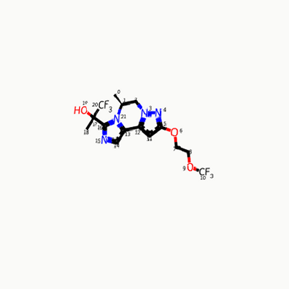 C[C@H]1Cn2nc(OCCOC(F)(F)F)cc2-c2cnc(C(C)(O)C(F)(F)F)n21